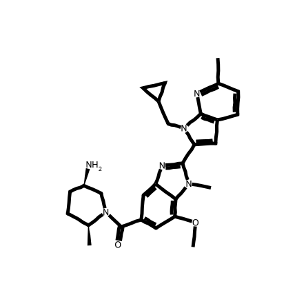 COc1cc(C(=O)N2C[C@H](N)CC[C@@H]2C)cc2nc(-c3cc4ccc(C)nc4n3CC3CC3)n(C)c12